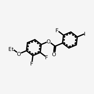 CCOc1ccc(OC(=O)c2ccc(I)cc2F)c(F)c1F